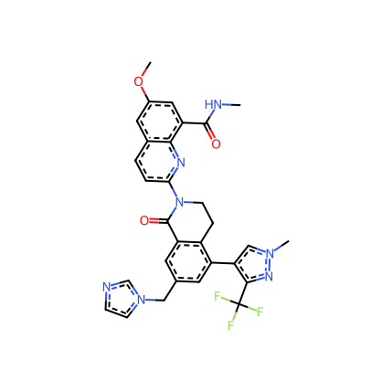 CNC(=O)c1cc(OC)cc2ccc(N3CCc4c(cc(Cn5ccnc5)cc4-c4cn(C)nc4C(F)(F)F)C3=O)nc12